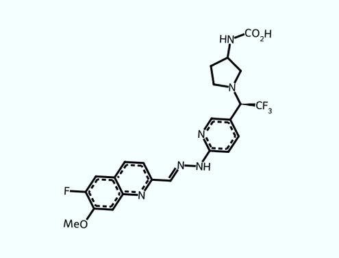 COc1cc2nc(/C=N/Nc3ccc([C@@H](N4CCC(NC(=O)O)C4)C(F)(F)F)cn3)ccc2cc1F